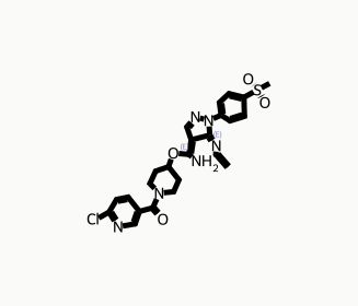 C=C/N=C1\C(=C(/N)OC2CCN(C(=O)c3ccc(Cl)nc3)CC2)C=NN1c1ccc(S(C)(=O)=O)cc1